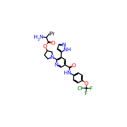 CC(C)C(N)C(=O)OC1CCN(c2ncc(C(=O)Nc3ccc(OC(F)(F)Cl)cc3)cc2-c2ccn[nH]2)C1